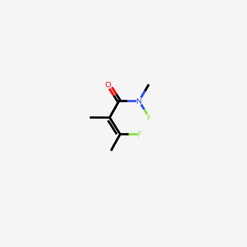 C/C(F)=C(\C)C(=O)N(C)F